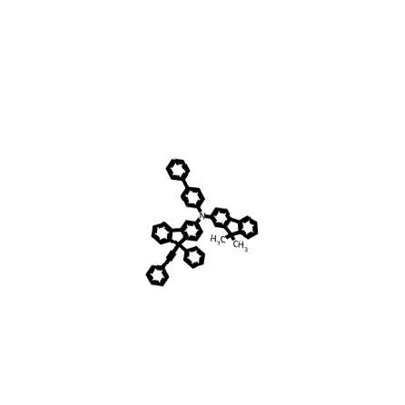 CC1(C)c2ccccc2-c2ccc(N(c3ccc(-c4ccccc4)cc3)c3ccc4c(c3)-c3ccccc3C4(C#Cc3ccccc3)c3ccccc3)cc21